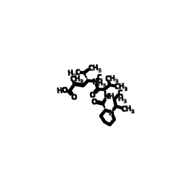 CCC(C)N1CCCC[C@@H]1C(=O)N[C@H](C(=O)N(C)[C@H](/C=C(\C)C(=O)O)C(C)C)C(C)C